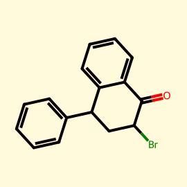 O=C1c2ccccc2C(c2ccccc2)CC1Br